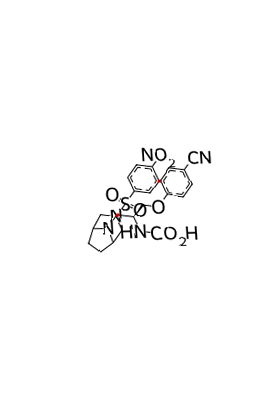 N#Cc1ccc(OC[C@H](CN2C3CCC2CN(S(=O)(=O)c2ccc([N+](=O)[O-])cc2)C3)NC(=O)O)cc1